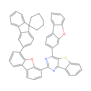 c1ccc2c(c1)-c1cc(-c3cccc4c3oc3c(-c5nc(-c6ccc7c(c6)oc6ccccc67)c6sc7ccccc7c6n5)cccc34)ccc1C21CCCCC1